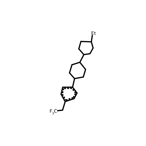 CCC1CCC(C2CCC(c3ccc(CC(F)(F)F)cc3)CC2)CC1